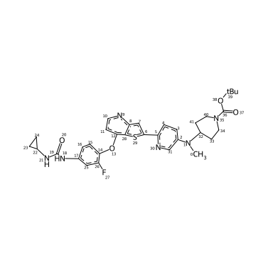 CN(c1ccc(-c2cc3nccc(Oc4ccc(NC(=O)NC5CC5)cc4F)c3s2)nc1)C1CCN(C(=O)OC(C)(C)C)CC1